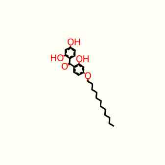 CCCCCCCCCCCCOc1ccc(C(=O)c2ccc(O)cc2O)c(O)c1